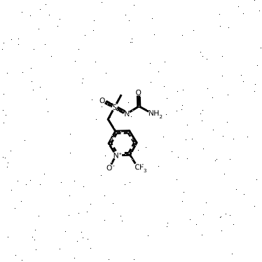 CS(=O)(Cc1ccc(C(F)(F)F)[n+]([O-])c1)=NC(N)=O